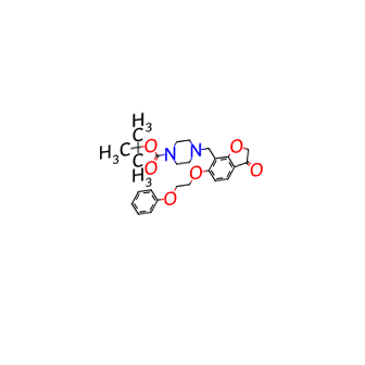 CC(C)(C)OC(=O)N1CCN(Cc2c(OCCOc3ccccc3)ccc3c2OCC3=O)CC1